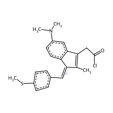 CSc1ccc(/C=C2/C(C)=C(CC(=O)Cl)c3cc(N(C)C)ccc32)cc1